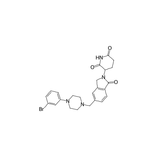 O=C1CCC(N2Cc3cc(CN4CCN(c5cccc(Br)c5)CC4)ccc3C2=O)C(=O)N1